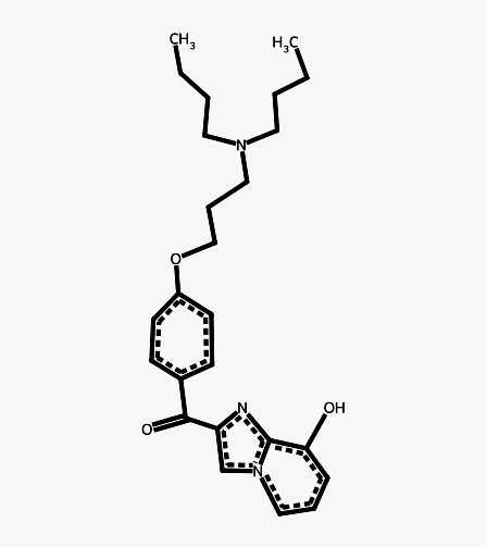 CCCCN(CCCC)CCCOc1ccc(C(=O)c2cn3cccc(O)c3n2)cc1